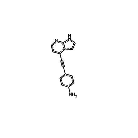 Nc1ccc(C#Cc2ccnc3[nH]ccc23)cc1